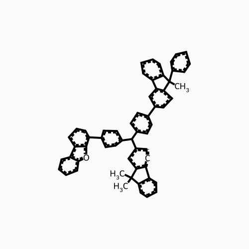 CC1(C)c2ccccc2-c2ccc(C(c3ccc(-c4ccc5c(c4)-c4ccccc4C5(C)c4ccccc4)cc3)c3ccc(-c4cccc5c4oc4ccccc45)cc3)cc21